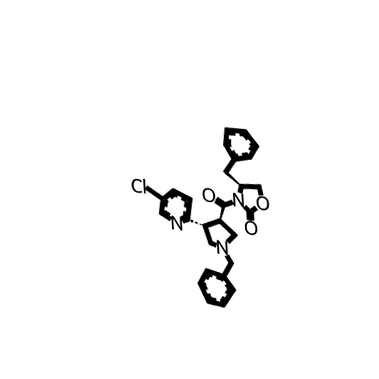 O=C1OC[C@H](Cc2ccccc2)N1C(=O)[C@H]1CN(Cc2ccccc2)C[C@@H]1c1ccc(Cl)cn1